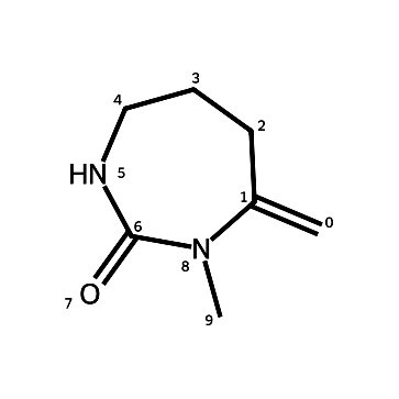 C=C1CCCNC(=O)N1C